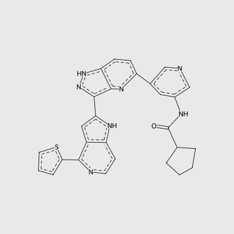 O=C(Nc1cncc(-c2ccc3[nH]nc(-c4cc5c(-c6cccs6)nccc5[nH]4)c3n2)c1)C1CCCC1